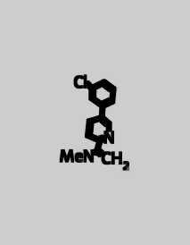 C=C(NC)c1ccc(-c2cccc(Cl)c2)cn1